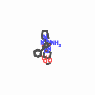 Nc1nnc(-c2ccccc2O)cc1N1CC2CCC(C1)N2c1ncc(N2CCC3(CC2)OCCO3)cn1